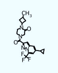 CC1CC(N2CCN(C(=O)c3cc4cc(C5CC5)cc(C(F)(F)F)n4n3)CC2=O)C1